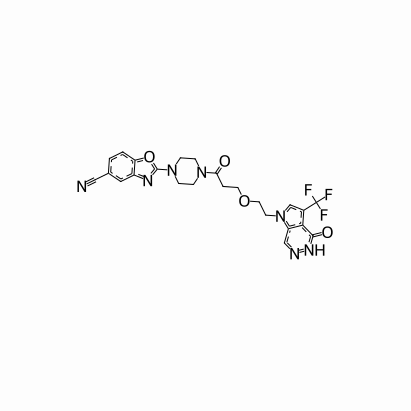 N#Cc1ccc2oc(N3CCN(C(=O)CCOCCn4cc(C(F)(F)F)c5c(=O)[nH]ncc54)CC3)nc2c1